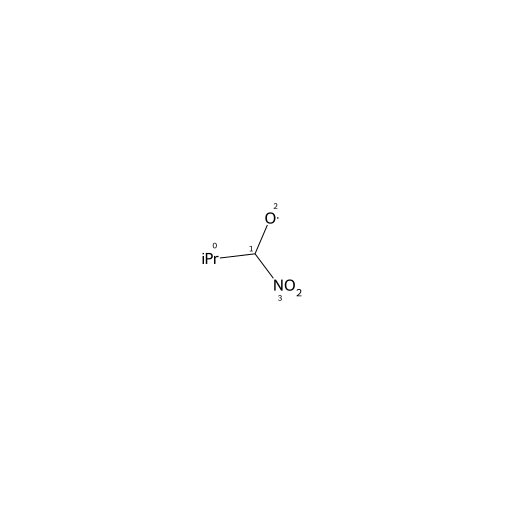 CC(C)C([O])[N+](=O)[O-]